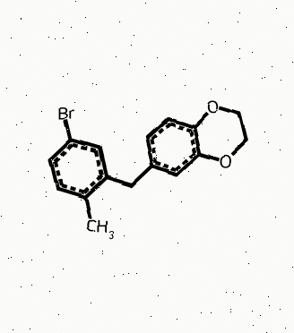 Cc1ccc(Br)cc1Cc1ccc2c(c1)OCCO2